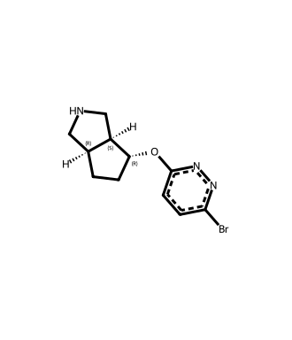 Brc1ccc(O[C@@H]2CC[C@H]3CNC[C@H]32)nn1